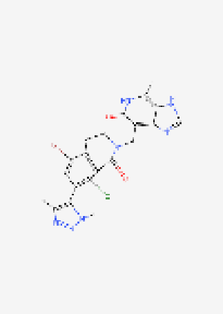 Cc1nnn(C)c1-c1cc(Br)c2c(c1Cl)C(=O)N(Cc1c(=O)[nH]c(C)c3[nH]cnc13)CC2